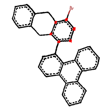 Brc1ccc(-c2cccc3c4ccccc4c4ccccc4c23)c2c1C1c3ccccc3C2c2ccccc21